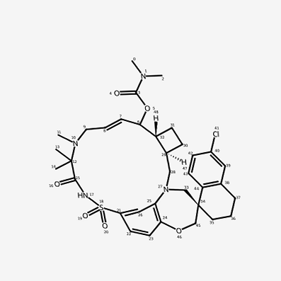 CN(C)C(=O)OC1/C=C/CN(C)C(C)(C)C(=O)NS(=O)(=O)c2ccc3c(c2)N(C[C@@H]2CC[C@@H]12)C[C@@]1(CCCc2cc(Cl)ccc21)CO3